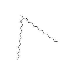 [CH2]C(SCCCCCCCCCCCC)SCCCCCCCCCCCC